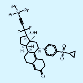 CC(C)[Si](C#CC(F)(F)[C@]1(O)CC[C@H]2[C@@H]3CCC4=CC(=O)CCC4=C3[C@@H](c3ccc(S(=O)(=O)C4CC4)cc3)C[C@@]21C)(C(C)C)C(C)C